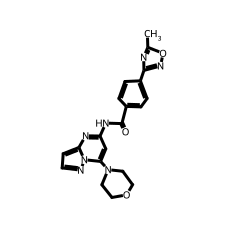 Cc1nc(-c2ccc(C(=O)Nc3cc(N4CCOCC4)n4nccc4n3)cc2)no1